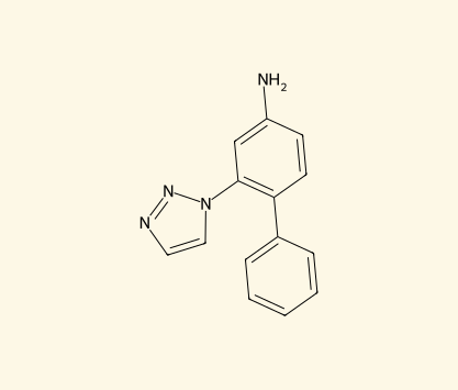 Nc1ccc(-c2ccccc2)c(-n2ccnn2)c1